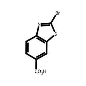 O=C(O)c1ccc2nc(Br)sc2c1